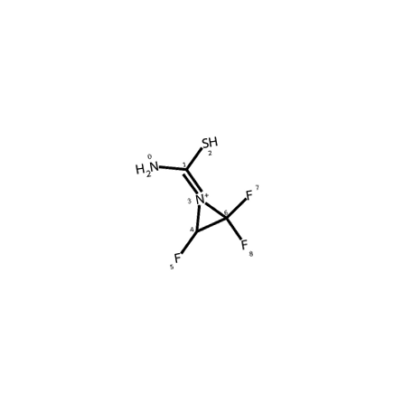 NC(S)=[N+]1C(F)C1(F)F